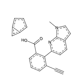 C#Cc1cccc(C(=O)O)c1-c1ccc2ccn(C)c2n1.c1cc2cc-2c1